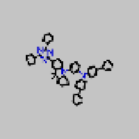 CC1(C)c2ccccc2N(c2cccc(N(c3ccc(-c4ccccc4)cc3)c3ccc(-c4ccccc4)cc3)c2)c2ccc(-c3nc(-c4ccccc4)nc(-c4ccccc4)n3)cc21